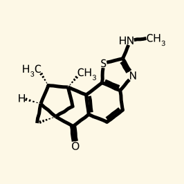 CNc1nc2ccc3c(c2s1)[C@@]1(C)C[C@@]2(C[C@H]2[C@@H]1C)C3=O